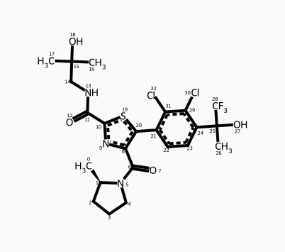 C[C@@H]1CCCN1C(=O)c1nc(C(=O)NCC(C)(C)O)sc1-c1ccc(C(C)(O)C(F)(F)F)c(Cl)c1Cl